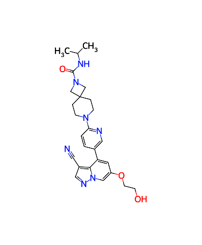 CC(C)NC(=O)N1CC2(CCN(c3ccc(-c4cc(OCCO)cn5ncc(C#N)c45)cn3)CC2)C1